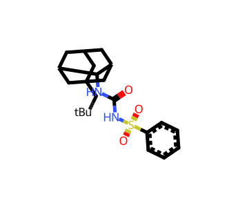 CC(C)(C)CC12CC3CC(C1)C(NC(=O)NS(=O)(=O)c1ccccc1)C(C3)C2